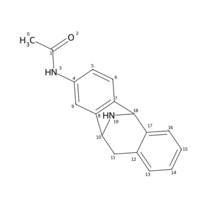 CC(=O)Nc1ccc2c(c1)C1Cc3ccccc3C2N1